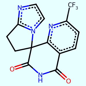 O=C1NC(=O)C2(CCc3nccn32)c2nc(C(F)(F)F)ccc21